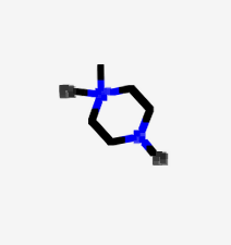 CCN1CC[N+](C)(CC)CC1